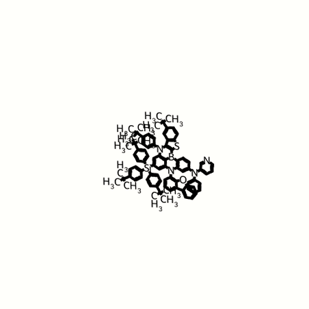 CC(C)(C)c1ccc(N2c3cc([Si](c4ccc(C(C)(C)C)cc4)(c4ccc(C(C)(C)C)cc4)c4ccc(C(C)(C)C)cc4)cc4c3B(c3ccc(N(c5ccccc5)c5cccnc5)cc3N4c3cccc4c3oc3ccccc34)c3sc4ccc(C(C)(C)C)cc4c32)cc1